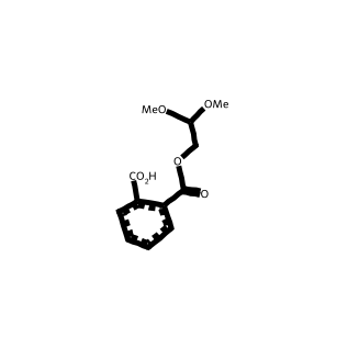 COC(COC(=O)c1ccccc1C(=O)O)OC